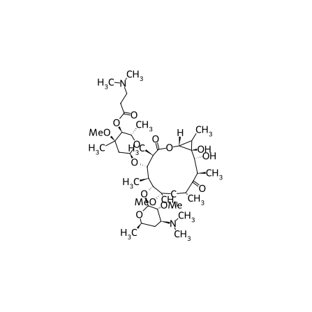 CO[C@H]1[C@H](O[C@@H]2[C@@H](C)[C@H](O[C@H]3C[C@@](C)(OC)[C@@H](OC(=O)CCN(C)C)[C@H](C)O3)[C@@H](C)C(=O)O[C@@H]3C(C)[C@]3(O)[C@H](O)[C@@H](C)C(=O)[C@H](C)C[C@]2(C)OC)O[C@H](C)C[C@@H]1N(C)C